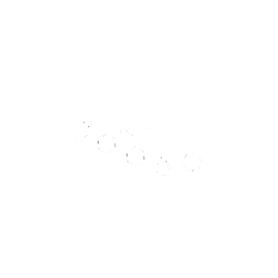 O=C(NC1CCOC1)c1ccc(-c2ccc(-c3nc(-c4ccc(Cl)c(Cl)c4)cs3)cc2C(=O)O)cc1